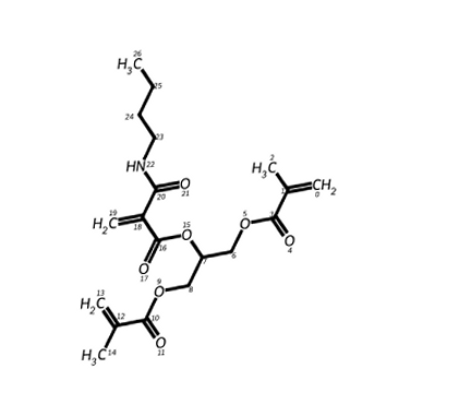 C=C(C)C(=O)OCC(COC(=O)C(=C)C)OC(=O)C(=C)C(=O)NCCCC